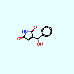 O=C1C=C(C(O)c2ccccc2)C(=O)N1